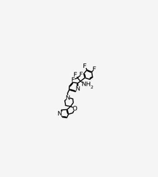 N[C@@](c1ccc(F)c(F)c1)(c1ccc(CN2CCC3(CC2)OCc2ccncc23)cn1)C(F)(F)F